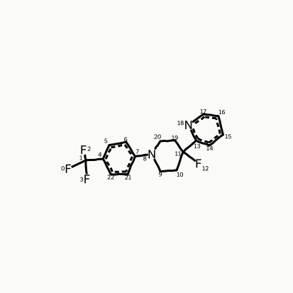 FC(F)(F)c1ccc(N2CCC(F)(c3ccccn3)CC2)cc1